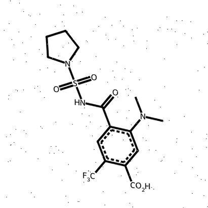 CN(C)c1cc(C(=O)O)c(C(F)(F)F)cc1C(=O)NS(=O)(=O)N1CCCC1